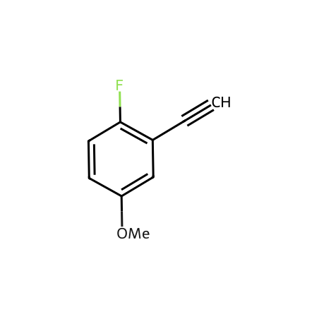 C#Cc1cc(OC)ccc1F